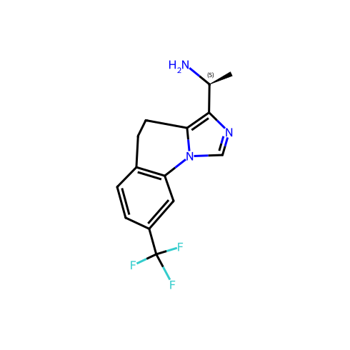 C[C@H](N)c1ncn2c1CCc1ccc(C(F)(F)F)cc1-2